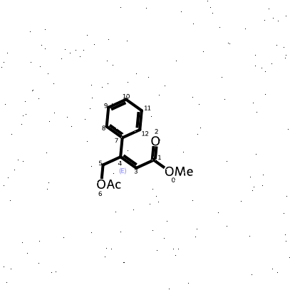 COC(=O)/C=C(/COC(C)=O)c1ccccc1